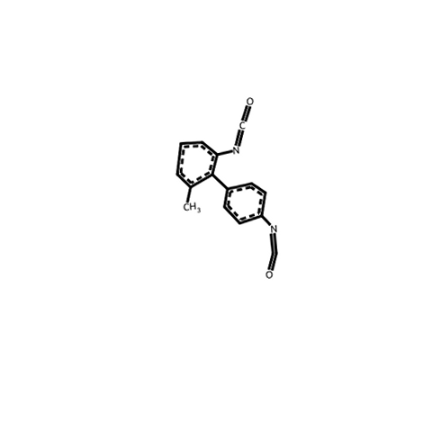 Cc1cccc(N=C=O)c1-c1ccc(N=C=O)cc1